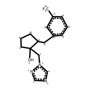 OC1(Cn2cncn2)CCCC1Cc1cccc(C(F)(F)F)c1